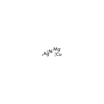 [Ag].[Cu].[Mg].[Ni]